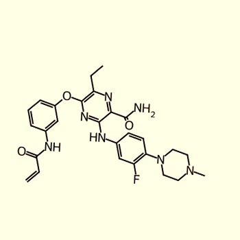 C=CC(=O)Nc1cccc(Oc2nc(Nc3ccc(N4CCN(C)CC4)c(F)c3)c(C(N)=O)nc2CC)c1